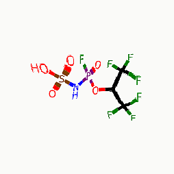 O=P(F)(NS(=O)(=O)O)OC(C(F)(F)F)C(F)(F)F